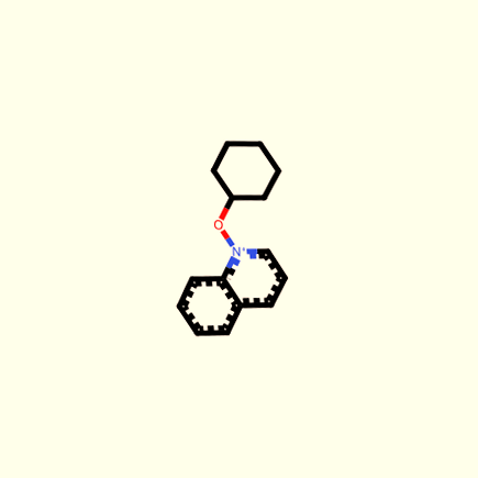 c1ccc2c(c1)ccc[n+]2OC1CCCCC1